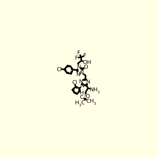 CC(C)(C)OCC(N)c1nc(Cn2nc(-c3ccc(Cl)cc3)n(CC(O)C(F)(F)F)c2=O)nn1-c1ccccc1Cl